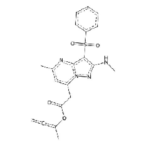 C=C=C(C)OC(=O)Cc1cc(C)nc2c(S(=O)(=O)c3ccccc3)c(NC)nn12